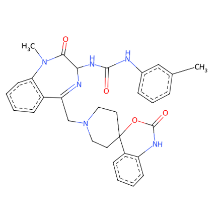 Cc1cccc(NC(=O)NC2N=C(CN3CCC4(CC3)OC(=O)Nc3ccccc34)c3ccccc3N(C)C2=O)c1